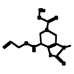 C=CCONC1CN(C(=O)OC(C)(C)C)Cc2c1sc(=O)n2C